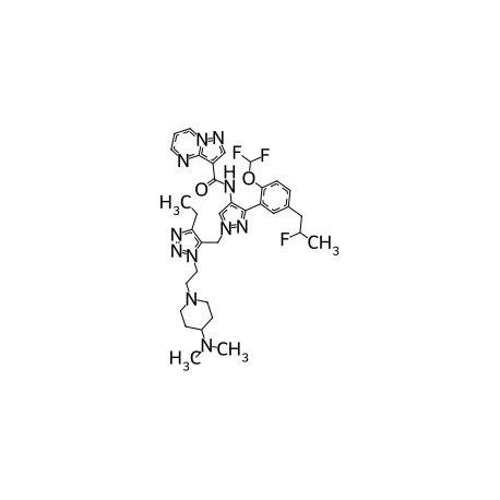 CCc1nnn(CCN2CCC(N(C)C)CC2)c1Cn1cc(NC(=O)c2cnn3cccnc23)c(-c2cc(CC(C)F)ccc2OC(F)F)n1